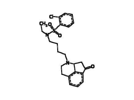 CCN(CCCCN1CCc2cccc3c2C1CC3=O)S(=O)(=O)c1ccccc1Cl